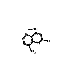 CO.Nc1ncnc2ccc(Cl)nc12